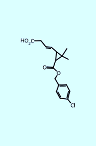 CC1(C)C(C=CCC(=O)O)C1C(=O)OCc1ccc(Cl)cc1